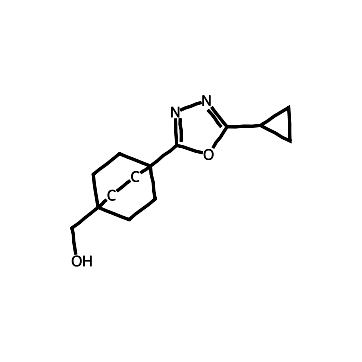 OCC12CCC(c3nnc(C4CC4)o3)(CC1)CC2